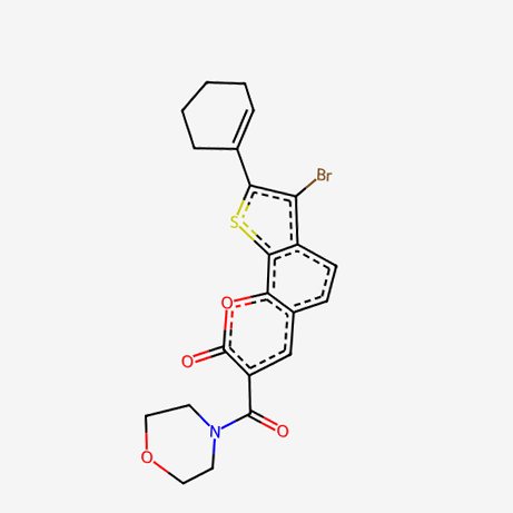 O=C(c1cc2ccc3c(Br)c(C4=CCCCC4)sc3c2oc1=O)N1CCOCC1